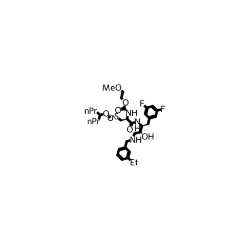 CCCC(CCC)OOSC[C@@H](NC(=O)OCCOC)C(=O)N[C@@H](Cc1cc(F)cc(F)c1)[C@H](O)CNCc1cccc(CC)c1